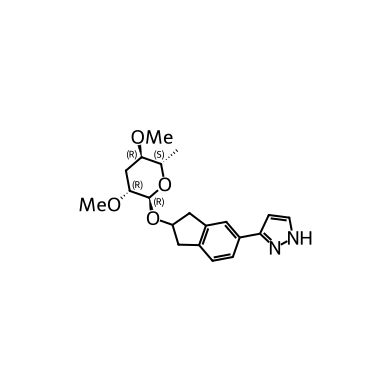 CO[C@@H]1C[C@@H](OC)[C@H](C)O[C@H]1OC1Cc2ccc(-c3cc[nH]n3)cc2C1